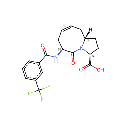 O=C(N[C@H]1C/C=C\C[C@@H]2CC[C@@H](C(=O)O)N2C1=O)c1cccc(C(F)(F)F)c1